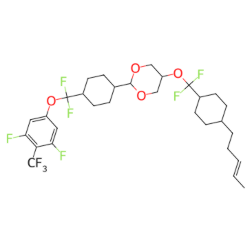 C/C=C/CCC1CCC(C(F)(F)OC2COC(C3CCC(C(F)(F)Oc4cc(F)c(C(F)(F)F)c(F)c4)CC3)OC2)CC1